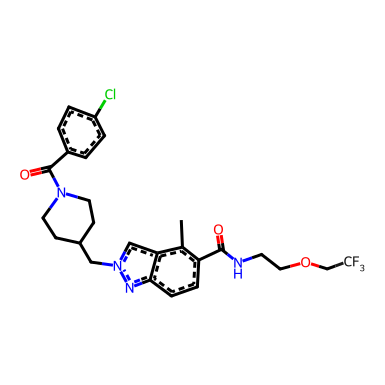 Cc1c(C(=O)NCCOCC(F)(F)F)ccc2nn(CC3CCN(C(=O)c4ccc(Cl)cc4)CC3)cc12